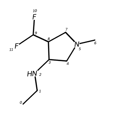 CCNC1CN(C)CC1C(F)F